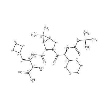 CC(C)(C)OC(=O)N[C@H](C(=O)N1CC2C([C@H]1C(=O)N[C@H](CC1COC1)C(O)C(=O)O)C2(C)C)C1CCCCC1